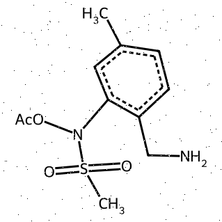 CC(=O)ON(c1cc(C)ccc1CN)S(C)(=O)=O